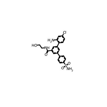 Nc1cc(Cl)ccc1-c1cc(C(=O)NCCO)cc(-c2ccc(S(N)(=O)=O)cc2)c1